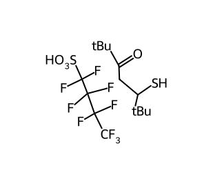 CC(C)(C)C(=O)CC(S)C(C)(C)C.O=S(=O)(O)C(F)(F)C(F)(F)C(F)(F)C(F)(F)F